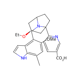 CCO[C@H]1CC2CCC(c3ccc(C(=O)O)cn3)(C1)N2Cc1c(OC)cc(C)c2[nH]ccc12